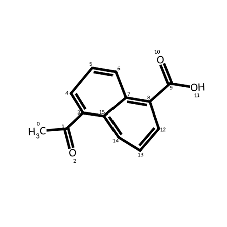 CC(=O)c1cccc2c(C(=O)O)cccc12